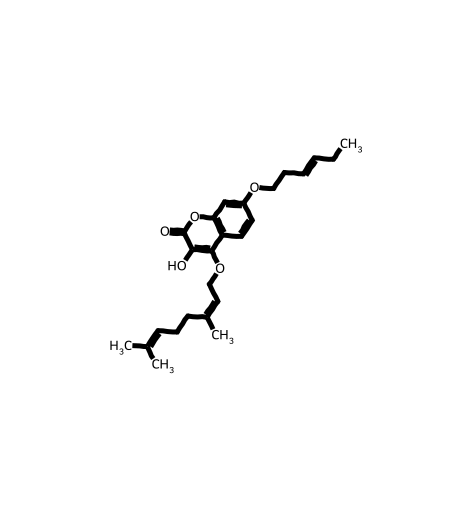 CCC=CCCOc1ccc2c(OCC=C(C)CCC=C(C)C)c(O)c(=O)oc2c1